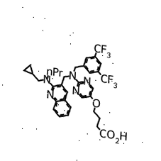 CCCN(CC1CC1)c1nc2ccccc2cc1CN(Cc1cc(C(F)(F)F)cc(C(F)(F)F)c1)c1ncc(OCCCC(=O)O)cn1